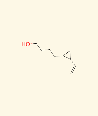 C=C[C@H]1C[C@H]1CCCCO